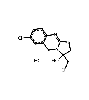 Cl.OC1(CCl)CSC2=Nc3ccc(Cl)cc3CN21